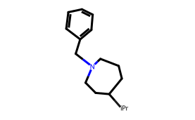 CC(C)C1CCCN(Cc2ccccc2)CC1